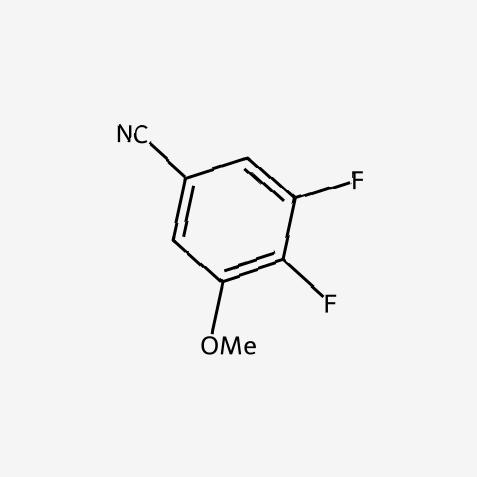 COc1cc(C#N)cc(F)c1F